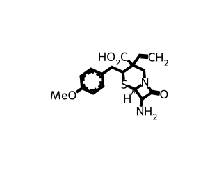 C=CC1(C(=O)O)CN2C(=O)C(N)[C@H]2SC1Cc1ccc(OC)cc1